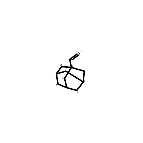 S=[C]C12CC3CC(CC(C3)C1)C2